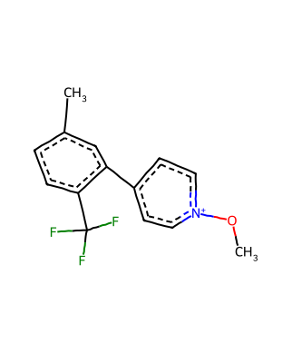 CO[n+]1ccc(-c2cc(C)ccc2C(F)(F)F)cc1